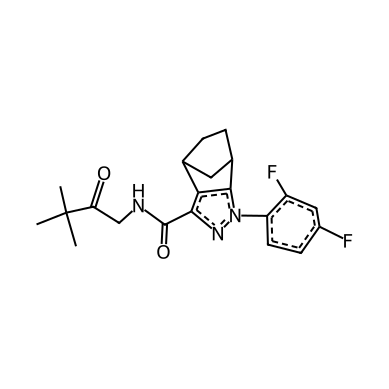 CC(C)(C)C(=O)CNC(=O)c1nn(-c2ccc(F)cc2F)c2c1C1CCC2C1